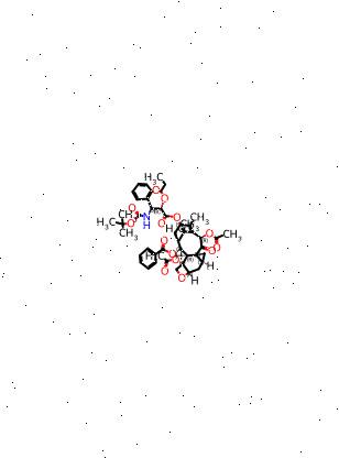 CCC(=O)O[C@@H](C(=O)O[C@H]1CC2[C@@H](OC(=O)c3ccccc3)[C@@H]3[C@]4(OC(C)=O)CO[C@@H]4C[C@@H]4C[C@@]43C(=O)[C@H](OC(C)=O)C(=C1C)C2(C)C)[C@@H](NC(=O)OC(C)(C)C)c1ccccc1